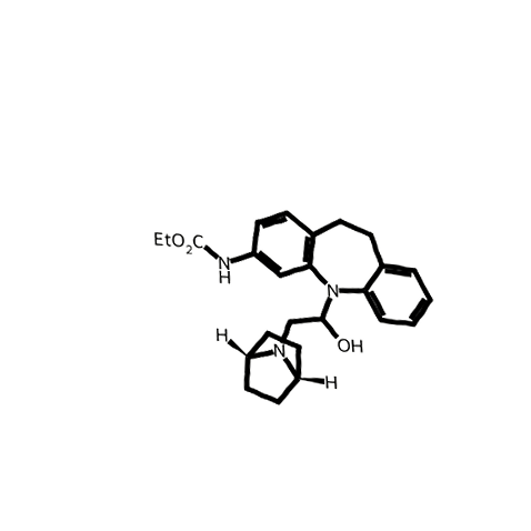 CCOC(=O)Nc1ccc2c(c1)N(C(O)CN1[C@H]3CC[C@@H]1CC3)c1ccccc1CC2